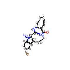 O=c1c2ccccc2nc2n1CCc1c-2[nH]c2ccc(Br)cc12